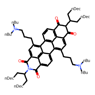 CCCCCCCCCCCC(CCCCCCCCCCC)C1C(=O)c2ccc3c4c(CCCN(CCCC)CCCC)cc5c6c(ccc(c7c(CCCN(CCCC)CCCC)cc(c2c37)C1=O)c64)C(=O)N(C(CCCCCCCCCCC)CCCCCCCCCCC)C5=O